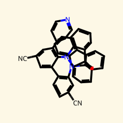 N#Cc1cc(-c2ccncc2)c(-n2c3ccccc3c3ccccc32)c(-c2ccc(C#N)cc2-n2c3ccccc3c3ccccc32)c1